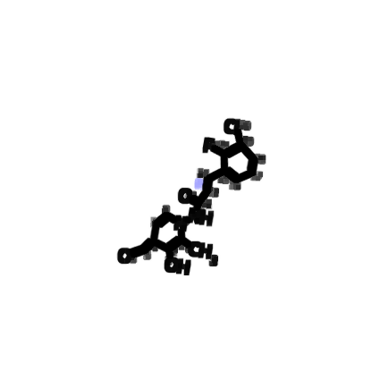 CC1=C(O)C(=C=O)C=CN1NC(=O)/C=C/c1cccc(Cl)c1F